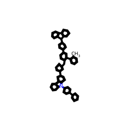 Cc1ccccc1-c1cc(-c2ccc(C3c4ccccc4-c4ccccc43)cc2)ccc1Cc1cccc(-c2ccc3c(c2)c2ccccc2n3-c2ccc(-c3ccccc3)cc2)c1